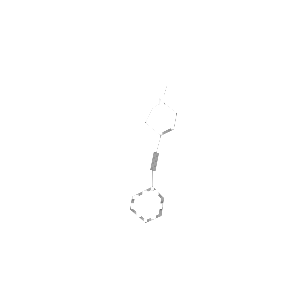 CN1CC=C(C#Cc2ccccc2)CC1